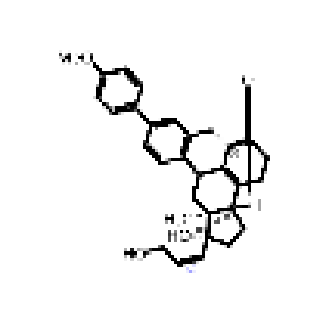 COc1ccc(-c2ccc3c(c2)C[C@]24CCC(=O)C=C2CCC2=C4C3C[C@@]3(C)[C@H]2CC[C@@]3(O)/C=C\CO)cc1